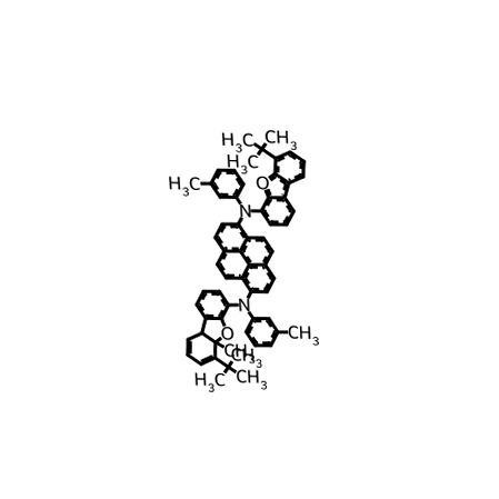 Cc1cccc(N(c2cccc3c2OC2(C)C(C(C)(C)C)=CC=CC32)c2ccc3ccc4c(N(c5cccc(C)c5)c5cccc6c5oc5c(C(C)(C)C)cccc56)ccc5ccc2c3c54)c1